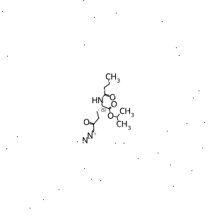 CCCC(=O)N[C@@H](CCC(=O)C=[N+]=[N-])C(=O)OC(C)C